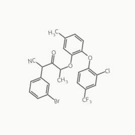 Cc1ccc(Oc2ccc(C(F)(F)F)cc2Cl)c(OC(C)C(=O)C(C#N)c2cccc(Br)c2)c1